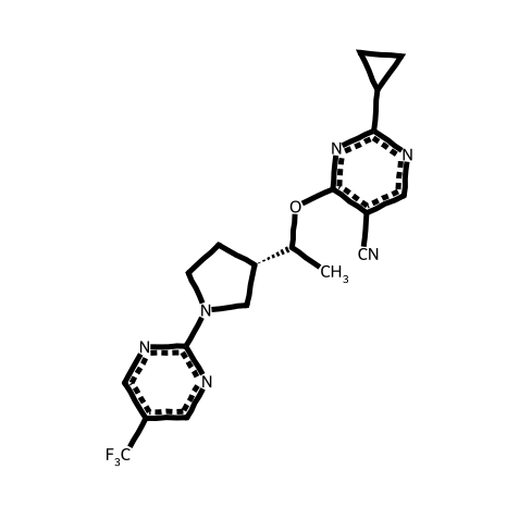 CC(Oc1nc(C2CC2)ncc1C#N)[C@H]1CCN(c2ncc(C(F)(F)F)cn2)C1